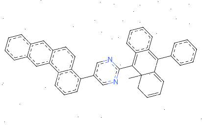 CC12CC=CC=C1C(c1ccccc1)=c1ccccc1=C2c1ncc(-c2cccc3c2ccc2cc4ccccc4cc23)cn1